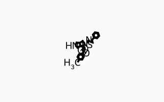 Cc1ccc(S(=O)(=O)OC2C3CNCC3CN2c2nc(-c3ccccc3)cs2)cc1